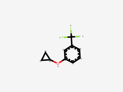 FC(F)(F)c1cc[c]c(OC2CC2)c1